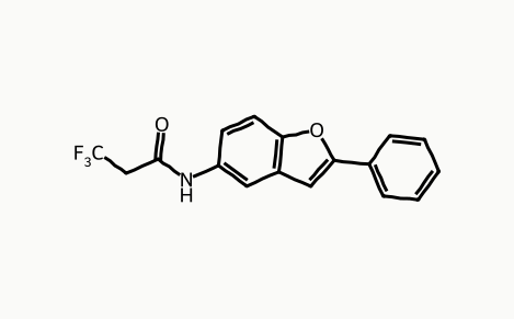 O=C(CC(F)(F)F)Nc1ccc2oc(-c3ccccc3)cc2c1